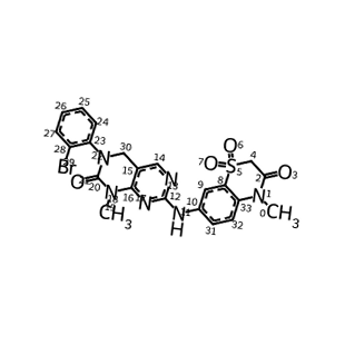 CN1C(=O)CS(=O)(=O)c2cc(Nc3ncc4c(n3)N(C)C(=O)N(c3ccccc3Br)C4)ccc21